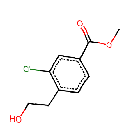 COC(=O)c1ccc(CCO)c(Cl)c1